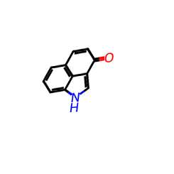 O=C1C=Cc2cccc3[nH]cc1c23